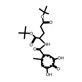 Cc1cc(O)c(=O)c(O)cc1C(=O)NC(CCC(=O)OC(C)(C)C)C(=O)OC(C)(C)C